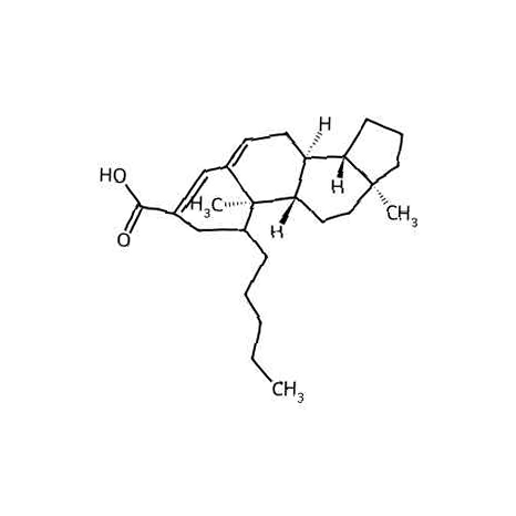 CCCCCC1CC(C(=O)O)=CC2=CC[C@H]3[C@@H]4CCC[C@@]4(C)CC[C@@H]3[C@]21C